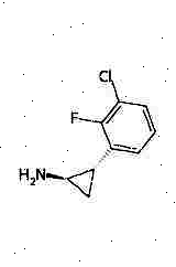 N[C@@H]1C[C@H]1c1cccc(Cl)c1F